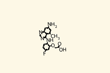 Cc1cc(N)cc2ncnc(Nc3ccc(F)cc3OCC(=O)O)c12